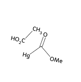 CC(=O)O.CO[C](=O)[Hg]